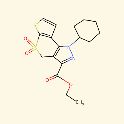 CCOC(=O)c1nn(C2CCCCC2)c2c1CS(=O)(=O)c1sccc1-2